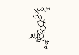 C=C(C)[C@@H]1CC[C@]2(CCN(C)C3CC3)CC[C@]3(C)[C@H](CCC4[C@@]5(C)CC[C@H](OC(=O)CC(C)(C)C(=O)O)C(C)(C)C5CC[C@]43C)[C@@H]12